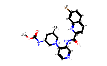 CC(C)(C)OC(=O)N[C@H]1C[C@@H](C(F)(F)F)CN(c2ccncc2NC(=O)c2ccc3ccc(Br)cc3n2)C1